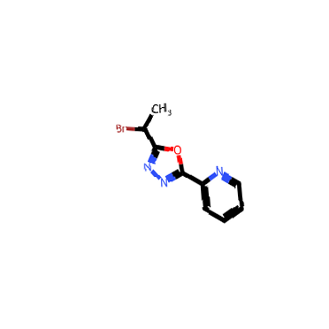 CC(Br)c1nnc(-c2ccccn2)o1